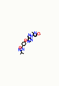 COc1ccc(-n2ncc3c(OC4CCC(c5nc(C(C)C)no5)CC4)ncnc32)c(C)n1